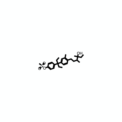 CCC(CC)(c1ccc(OS(C)(=O)=O)cc1)c1ccc(CCC(C)C(C)(O)CC)c(C)c1